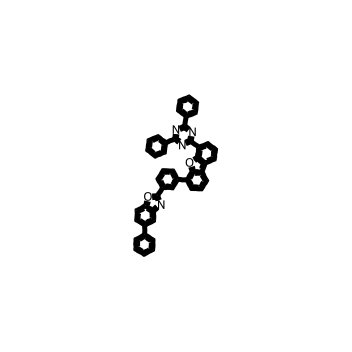 c1ccc(-c2ccc3oc(-c4cccc(-c5cccc6c5oc5c(-c7nc(-c8ccccc8)nc(-c8ccccc8)n7)cccc56)c4)nc3c2)cc1